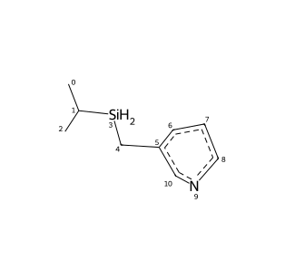 CC(C)[SiH2]Cc1cccnc1